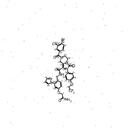 NC(=O)COc1ccc(CNC(=O)c2c3n(c(=O)n2-c2ccc(OCC(F)(F)F)cc2)CCN(C(=O)c2ccc(Br)c(Cl)c2)C3)c(-n2cccn2)c1